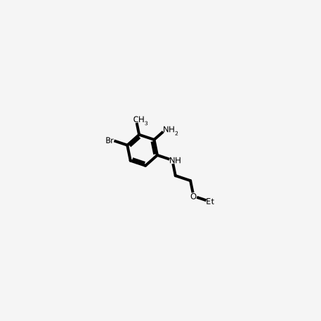 CCOCCNc1ccc(Br)c(C)c1N